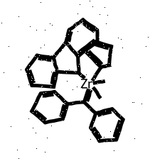 [CH3][Zr]([CH3])([C]1=CC=CC1)(=[C](c1ccccc1)c1ccccc1)[CH]1c2ccccc2-c2ccccc21